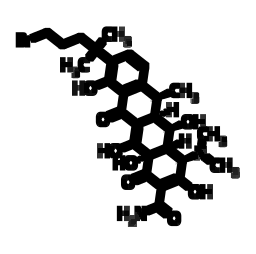 C[C@@H]1c2ccc(C(C)(C)CCCBr)c(O)c2C(=O)C2=C(O)[C@]3(O)C(=O)C(C(N)=O)=C(O)[C@H](N(C)C)[C@H]3[C@H](O)[C@@H]21